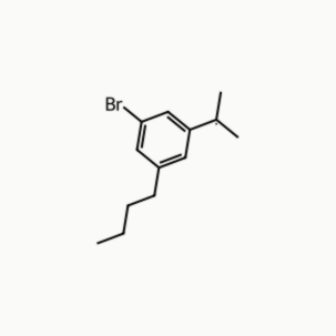 CCCCc1cc(Br)cc([C](C)C)c1